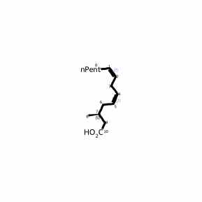 CCCCC/C=C\C/C=C\C[C@H](C)CC(=O)O